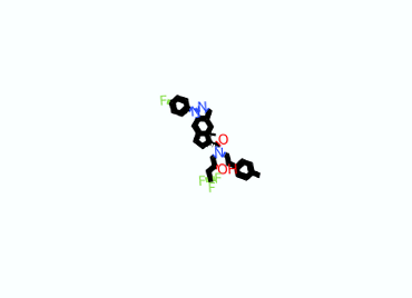 Cc1ccc(CCN(CC(O)CC(F)(F)F)C(=O)[C@H]2CCC3=Cc4c(cnn4-c4ccc(F)cc4)C[C@@]32C)cc1